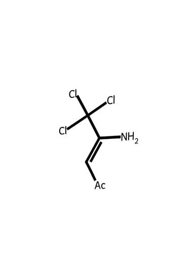 CC(=O)C=C(N)C(Cl)(Cl)Cl